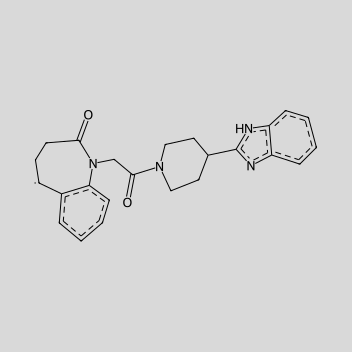 O=C(CN1C(=O)CC[CH]c2ccccc21)N1CCC(c2nc3ccccc3[nH]2)CC1